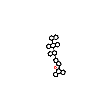 c1ccc2c(-c3c4ccccc4c(-c4ccc(-c5ccc6c(ccc7c6oc6c8ccccc8c8ccccc8c76)c5)c5ccccc45)c4ccccc34)cccc2c1